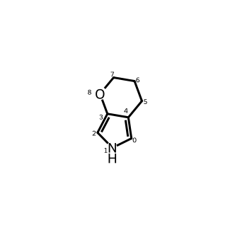 c1[nH]cc2c1CCCO2